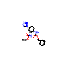 CC(C)(C)OC(=O)N[C@@H]1C[C@@H](n2cnnn2)CC[C@@H]1NC(=O)OCc1ccccc1